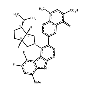 CNc1cc(F)c(F)c2c1[nH]c1ncc(-c3cnc4c(c3)c(=O)c(C(=O)O)cn4C)c(N3C[C@@H]4CC[C@@H](N(C)C)[C@@H]4C3)c12